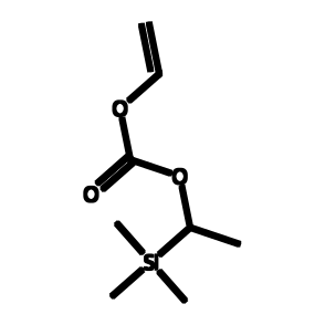 C=COC(=O)OC(C)[Si](C)(C)C